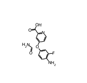 NC=O.Nc1ccc(Oc2ccnc(C(=O)O)c2)cc1F